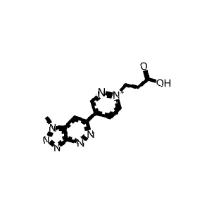 Cn1nnc2nnc(-c3cc[n+](CCC(=O)O)nc3)cc21